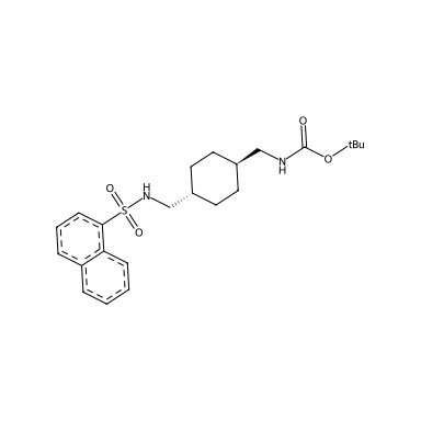 CC(C)(C)OC(=O)NC[C@H]1CC[C@H](CNS(=O)(=O)c2cccc3ccccc23)CC1